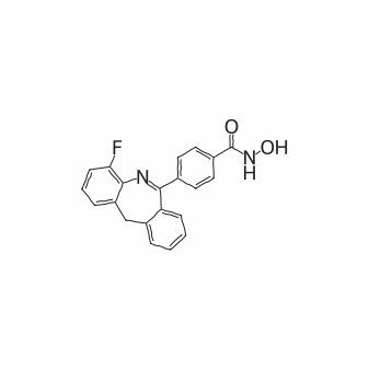 O=C(NO)c1ccc(C2=Nc3c(F)cccc3Cc3ccccc32)cc1